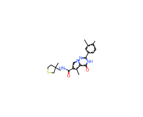 Cc1ccc(-c2nn3cc(C(=O)NCC4(C)CCSC4)c(C)c3c(=O)[nH]2)cc1C